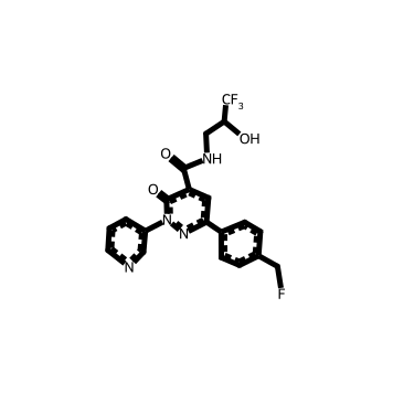 O=C(NCC(O)C(F)(F)F)c1cc(-c2ccc(CF)cc2)nn(-c2cccnc2)c1=O